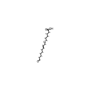 O=CCCCCCC=CCOCCCCCC(=O)O